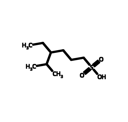 CCC(CCCS(=O)(=O)O)C(C)C